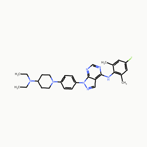 CCN(CC)C1CCN(c2ccc(-n3ncc4c(Nc5c(C)cc(F)cc5C)ncnc43)cc2)CC1